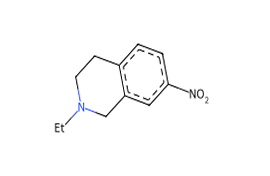 CCN1CCc2ccc([N+](=O)[O-])cc2C1